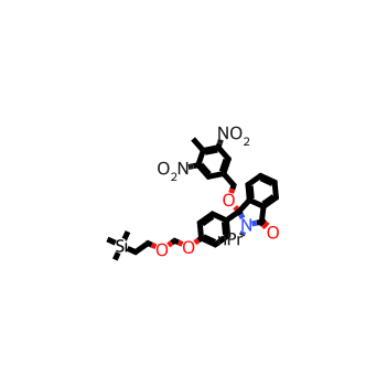 CCCN1C(=O)c2ccccc2C1(OCc1cc([N+](=O)[O-])c(C)c([N+](=O)[O-])c1)c1ccc(OCOCC[Si](C)(C)C)cc1